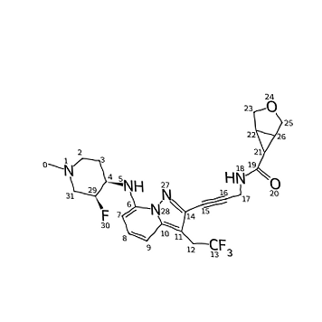 CN1CC[C@@H](Nc2cccc3c(CC(F)(F)F)c(C#CCNC(=O)C4C5COCC54)nn23)[C@@H](F)C1